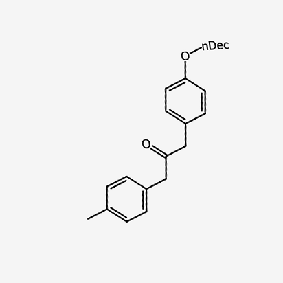 CCCCCCCCCCOc1ccc(CC(=O)Cc2ccc(C)cc2)cc1